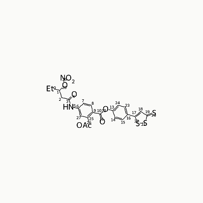 CCC(CC(=O)Nc1ccc(C(=O)Oc2ccc(-c3cc(=S)ss3)cc2)c(OC(C)=O)c1)O[N+](=O)[O-]